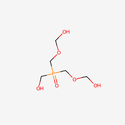 O=P(CO)(COCO)COCO